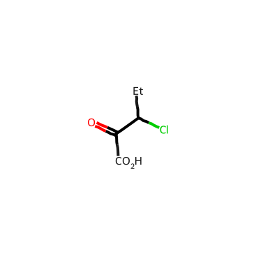 CCC(Cl)C(=O)C(=O)O